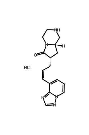 Cl.O=C1[C@@H](C/C=C\c2cccn3ncnc23)C[C@H]2CNCCN12